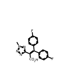 Cn1nnc(C(C(=O)O)=C(c2ccc(F)cc2)c2ccc(F)cc2)n1